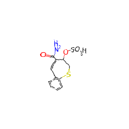 NC(=O)C1=Cc2ccccc2SCC1OS(=O)(=O)O